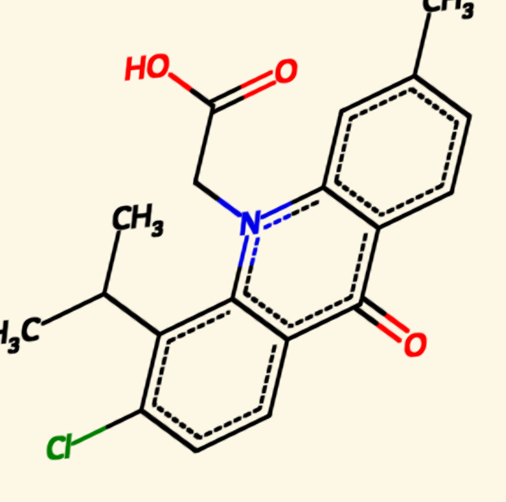 Cc1ccc2c(=O)c3ccc(Cl)c(C(C)C)c3n(CC(=O)O)c2c1